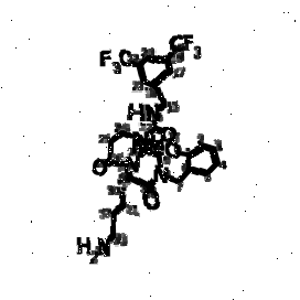 COc1ccccc1CN1C[C@@H]2N(C(=O)NCc3cc(C(F)(F)F)cc(C(F)(F)F)c3)CCC(=O)N2[C@@H](CCCCN)C1=O